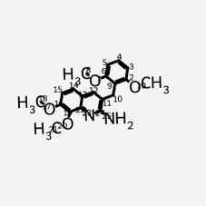 COc1cccc(OC)c1Cc1cc2ccc(OC)c(OC)c2nc1N